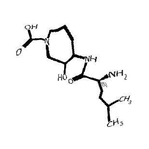 CC(C)C[C@H](N)C(=O)NC1CCCN(C(=O)O)CC1O